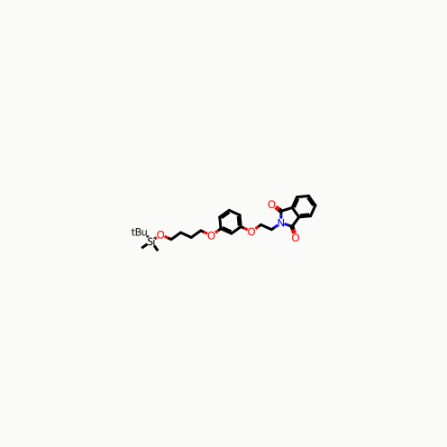 CC(C)(C)[Si](C)(C)OCCCCOc1cccc(OCCN2C(=O)c3ccccc3C2=O)c1